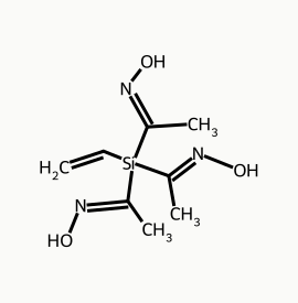 C=C[Si](C(C)=NO)(C(C)=NO)C(C)=NO